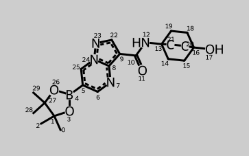 CC1(C)OB(c2cnc3c(C(=O)NC45CCC(O)(CC4)CC5)cnn3c2)OC1(C)C